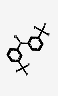 FC(F)(F)c1cccc(P(Cl)c2cccc(C(F)(F)F)c2)c1